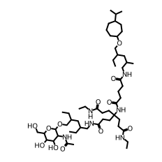 CCNC(=O)CCC(CCC(=O)NCC)(CCC(=O)NCC(CC)CC(CC)COC1OC(CO)C(O)C(O)C1NC(C)=O)NC(=O)CCCC(=O)NCC(C)CC(CC)COC1CCCC(C(C)C)CC1